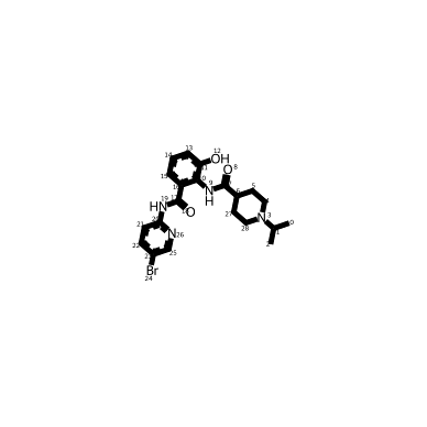 CC(C)N1CCC(C(=O)Nc2c(O)cccc2C(=O)Nc2ccc(Br)cn2)CC1